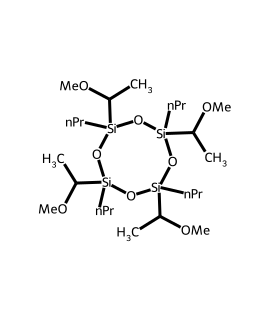 CCC[Si]1(C(C)OC)O[Si](CCC)(C(C)OC)O[Si](CCC)(C(C)OC)O[Si](CCC)(C(C)OC)O1